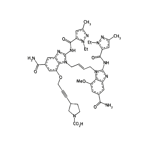 CCn1nc(C)cc1C(=O)Nc1nc2cc(C(N)=O)cc(OC)c2n1CC=CCn1c(NC(=O)c2cc(C)nn2CC)nc2cc(C(N)=O)cc(OCC#CC3CCN(C(=O)O)C3)c21